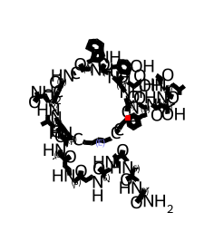 CC(=O)N[C@@H](CC(C)C)C(=O)N[C@H](C(=O)N[C@@H](Cc1ccccc1)C(=O)N[C@]1(C)CCCCCC/C=C/CCC[C@@](C)(C(=O)CN[C@@H](C)C(=O)CCN[C@@H](C)C(=O)CCN[C@@H](C)C(=O)CNC(C)(C)C(=O)CN[C@@H](C)C(=O)CN[C@H](C)C(N)=O)NC(=O)[C@H](CC(C)C)NN[C@@H](CCC(N)=O)C(=O)CC(=O)[C@H](C)NCC(=O)[C@H](Cc2c[nH]c3ccccc23)NC(=O)[C@H](Cc2ccc(O)cc2)NC(=O)[C@H](CCC(=O)O)NC1=O)[C@@H](C)O